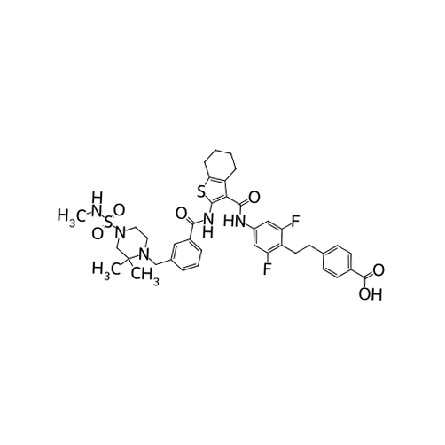 CNS(=O)(=O)N1CCN(Cc2cccc(C(=O)Nc3sc4c(c3C(=O)Nc3cc(F)c(CCc5ccc(C(=O)O)cc5)c(F)c3)CCCC4)c2)C(C)(C)C1